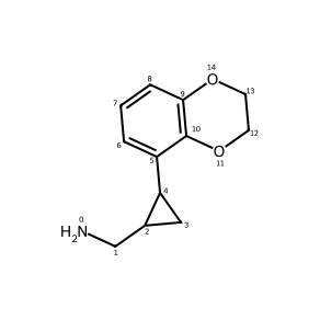 NCC1CC1c1cccc2c1OCCO2